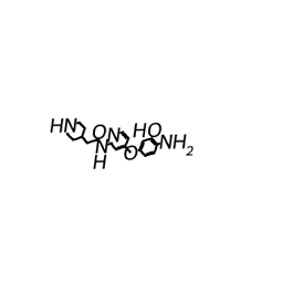 Nc1ccc(Oc2ccnc(NC(=O)CC3CCNCC3)c2)cc1O